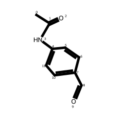 CC(=O)Nc1ccc([C]=O)cc1